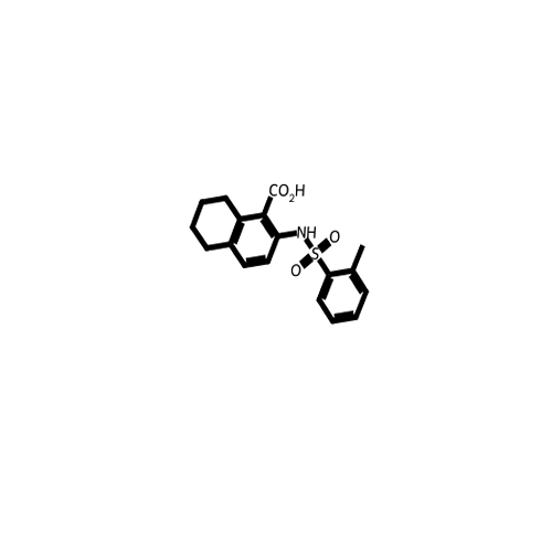 Cc1ccccc1S(=O)(=O)Nc1ccc2c(c1C(=O)O)CCCC2